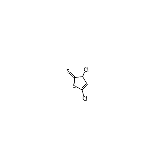 S=C1SC(Cl)=CC1Cl